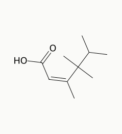 C/C(=C/C(=O)O)C(C)(C)C(C)C